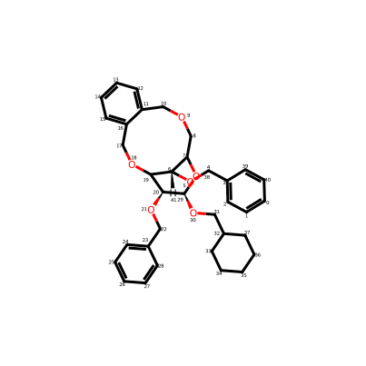 c1ccc(CO[C@H]2C3COCc4ccccc4COC2[C@H](OCc2ccccc2)[C@H](OCC2CCCCC2)O3)cc1